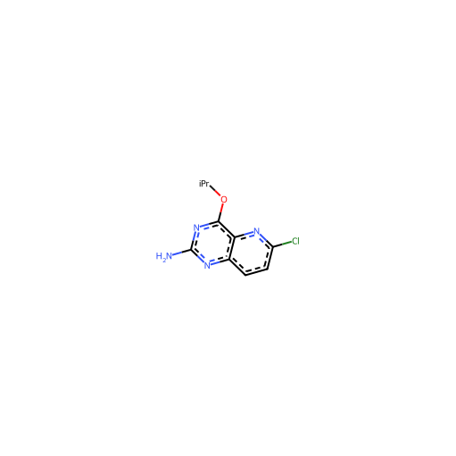 CC(C)Oc1nc(N)nc2ccc(Cl)nc12